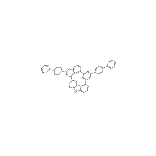 c1ccc(-c2ccc(-c3cccc(-c4ccc5oc6cccc(-c7cc(-c8ccc(-c9ccccc9)cc8)nc(-c8ccccc8)n7)c6c5c4)c3)cc2)cc1